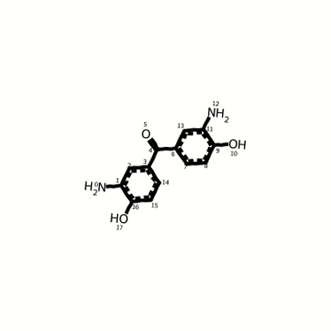 Nc1cc(C(=O)c2ccc(O)c(N)c2)ccc1O